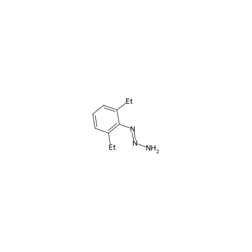 CCc1cccc(CC)c1N=NN